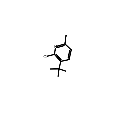 Cc1ccc(C(C)(C)I)c(Cl)n1